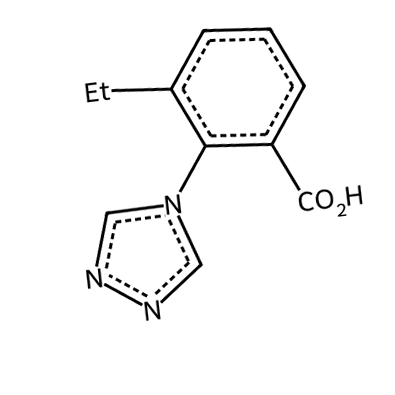 CCc1cccc(C(=O)O)c1-n1cnnc1